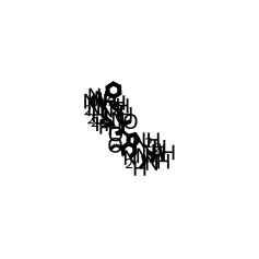 [2H]c1nc(C([2H])([2H])[2H])nn1-c1ncc(OC)c2c(C(=O)C(=O)N3C([2H])([2H])C([2H])([2H])N(c4nnnn4-c4ccccc4)C([2H])([2H])C3([2H])[2H])c[nH]c12